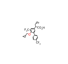 CC(C)CC(C(=O)O)c1cc(-c2ccc(C(F)(F)F)cc2)c(OCC2CC2)c(C(F)(F)F)c1